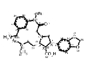 CCCCN(C(=O)CN1C[C@H](c2ccc3c(c2)OCO3)[C@@H](C(=O)O)[C@@H]1CCN(C)C(C)=O)c1cccc(CN)c1